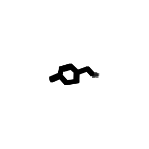 C=C1C=CC(CC(C)C)=CC1